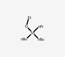 CCC[CH2][Sn]([CH2]CC)([CH2]CCC)[O]CC